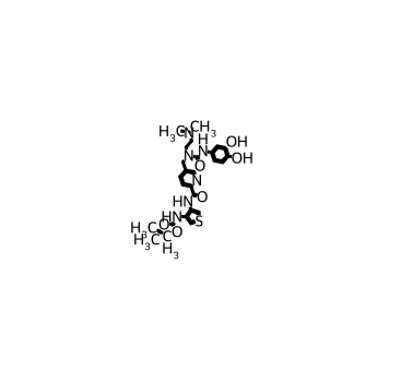 CN(C)CCN(Cc1ccc(C(=O)Nc2cscc2NC(=O)OC(C)(C)C)nc1)C(=O)Nc1ccc(O)c(O)c1